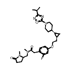 CC(C)c1noc(N2CCC([C@H]3C[C@H]3CCOc3ccc(CC(=O)N(C)CC4CCC(=O)N4C)c(F)c3)CC2)n1